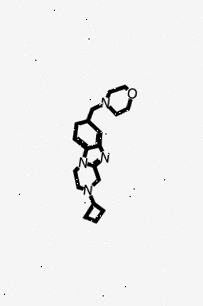 C1=c2nc3n(c2=CCC1CN1CCOCC1)CCN(C1CCC1)C3